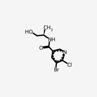 C[C@H](CO)NC(=O)c1cnc(Cl)c(Br)c1